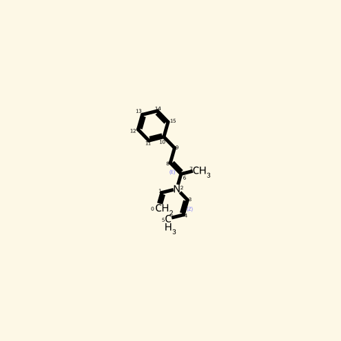 C=CN(/C=C\C)/C(C)=C/Cc1ccccc1